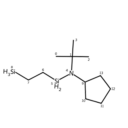 CC(C)(C)N([SiH2]CC[SiH3])C1CCCC1